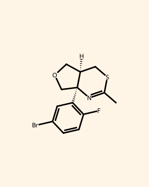 CC1=N[C@@]2(c3cc(Br)ccc3F)COC[C@H]2CS1